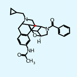 CC(=O)Nc1ccc2c(c1)C13CCN(CC4CC4)C(C2)C12CCC1C3[C@@H](CN1C(=O)c1ccccc1)O2